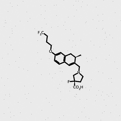 C[C@@H]1Cc2cc(OCCCC(F)(F)F)ccc2C=C1CN1CC[C@@](F)(C(=O)O)C1